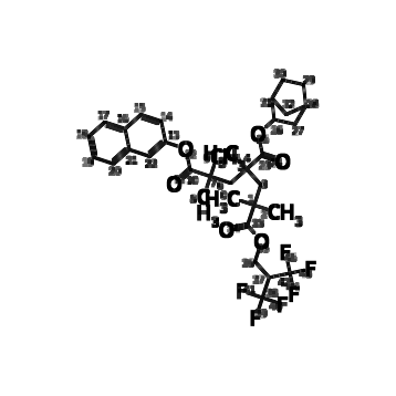 CC(C)(CC(C)(CC(C)(C)C(=O)Oc1ccc2ccccc2c1)C(=O)OC1CC2CCC1C2)C(=O)OCC(C(F)(F)F)C(F)(F)F